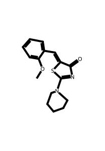 COc1ccccc1/C=C1\SC(N2CCCCC2)=NC1=O